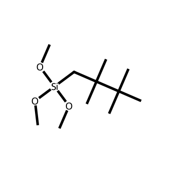 CO[Si](CC(C)(C)C(C)(C)C)(OC)OC